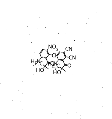 CC(O)(C(=O)c1c(N)ccc(C#N)c1C#N)C(F)(F)F.CC(O)(C(=O)c1c(N)ccc([N+](=O)[O-])c1Cl)C(F)(F)F